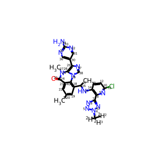 [2H]C([2H])([2H])n1nnc(-c2nc(Cl)ccc2NC(C)c2cc(C)cc3c(=O)n(C)c4c(-c5cnc(N)nc5)ncn4c23)n1